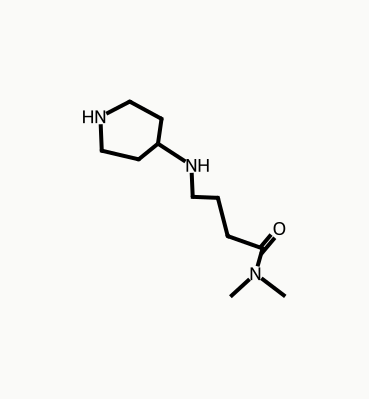 CN(C)C(=O)CCCNC1CCNCC1